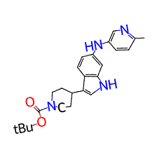 Cc1ccc(Nc2ccc3c(C4CCN(C(=O)OC(C)(C)C)CC4)c[nH]c3c2)cn1